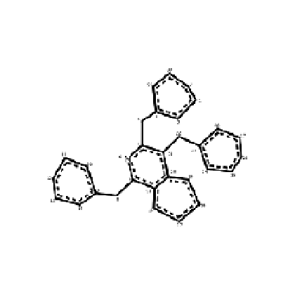 c1ccc(Cc2nc(Cc3ccccc3)c3ccccc3c2Cc2ccccc2)cc1